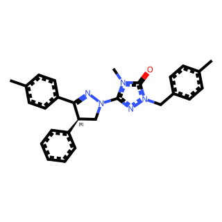 Cc1ccc(Cn2nc(N3C[C@@H](c4ccccc4)C(c4ccc(C)cc4)=N3)n(C)c2=O)cc1